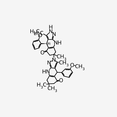 COc1cccc(C2C3=C(CC(C)(C)CC3=O)Nc3nn(C4(C)CC(=O)C5=C(C4)Nc4n[nH]c(C)c4[C@@H]5c4ccccc4OC)c(C)c32)c1